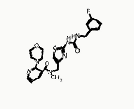 CN(Cc1csc(NC(=O)NCc2cccc(F)c2)n1)C(=O)c1cccnc1N1CCOCC1